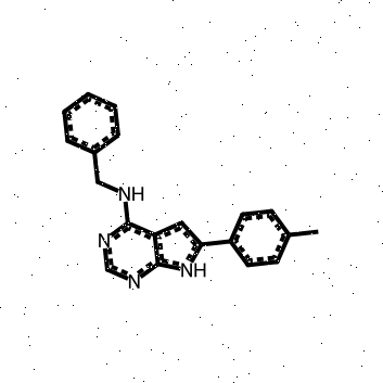 Cc1ccc(-c2cc3c(NCc4ccccc4)ncnc3[nH]2)cc1